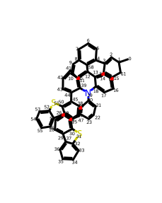 CC1C=C(c2cccc3cccc(-c4ccccc4N(c4cccc(-c5cccc6c5sc5ccccc56)c4)c4ccccc4-c4cccc5c4sc4ccccc45)c23)C=CC1